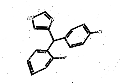 Fc1ccccc1C(c1ccc(Cl)cc1)c1c[nH]cn1